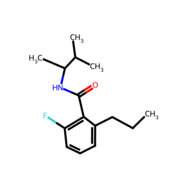 CCCc1cccc(F)c1C(=O)NC(C)C(C)C